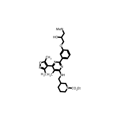 CCOC(=O)N1CCCC(CNc2nc(-c3cccc(OCC(O)CNC)c3)nc(-c3c(C)noc3C)c2C)C1